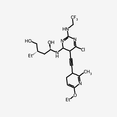 CCOC1=CCC(C#CC2C(Cl)=NC(NCC(F)(F)F)=NC2N[C@H](O)C[C@H](CC)CO)C(C)=N1